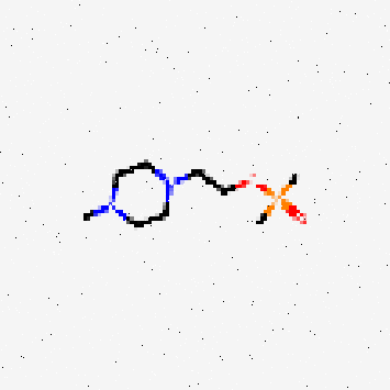 CN1CCN(CCOP(C)(C)=O)CC1